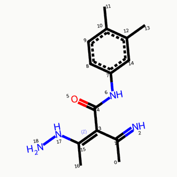 CC(=N)/C(C(=O)Nc1ccc(C)c(C)c1)=C(\C)NN